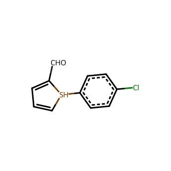 O=CC1=CC=C[SH]1c1ccc(Cl)cc1